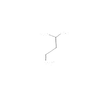 CCCCCCCCC(CCCCCCCC)CCC(=O)O